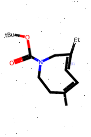 CC/C1=C\C=C(C)CCN(C(=O)OC(C)(C)C)C1